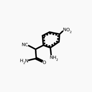 N#CC(C(N)=O)c1ccc([N+](=O)[O-])cc1N